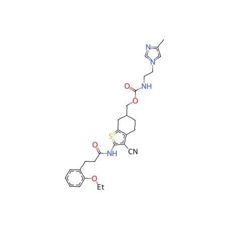 CCOc1ccccc1CCC(=O)Nc1sc2c(c1C#N)CCC(COC(=O)NCCn1cnc(C)c1)C2